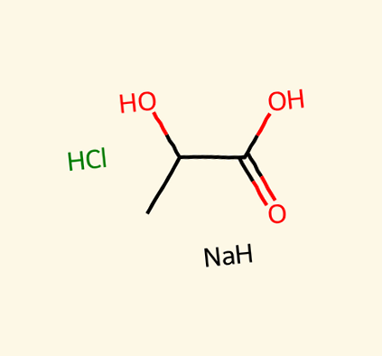 CC(O)C(=O)O.Cl.[NaH]